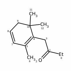 CCC(=O)CC1=C(C)C=CCC1(C)C